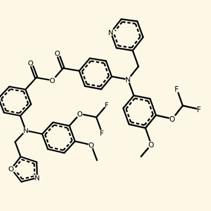 COc1ccc(N(Cc2cccnc2)c2ccc(C(=O)OC(=O)c3cccc(N(Cc4cnco4)c4ccc(OC)c(OC(F)F)c4)c3)cc2)cc1OC(F)F